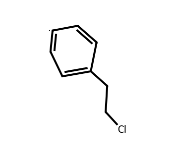 ClCCc1cc[c]cc1